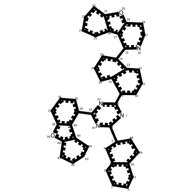 c1ccc2cc(-c3nc(-c4cccc5c(-c6nccc7oc8ccccc8c67)cccc45)nc(-c4cccc5oc6ccccc6c45)n3)ccc2c1